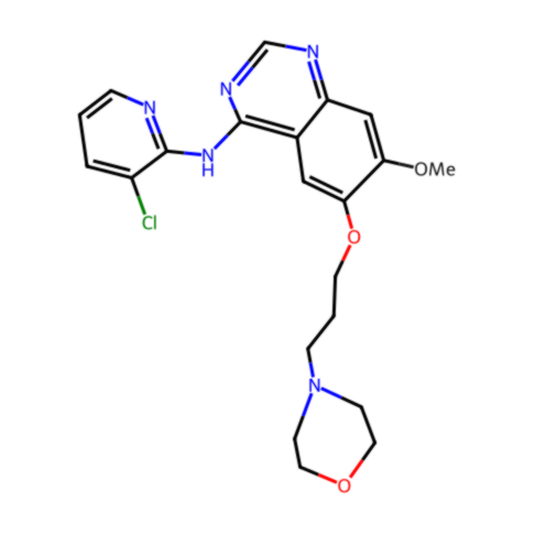 COc1cc2ncnc(Nc3ncccc3Cl)c2cc1OCCCN1CCOCC1